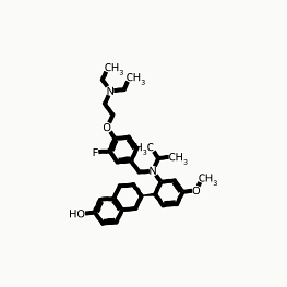 CCN(CC)CCOc1ccc(CN(C(C)C)C2C=C(OC)C=CC2[C@@H]2CCc3cc(O)ccc3C2)cc1F